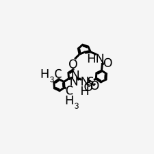 Cc1cccc(C)c1-c1cc2nc(n1)NS(=O)(=O)c1cccc(c1)C(=O)NCc1cccc(c1)CO2